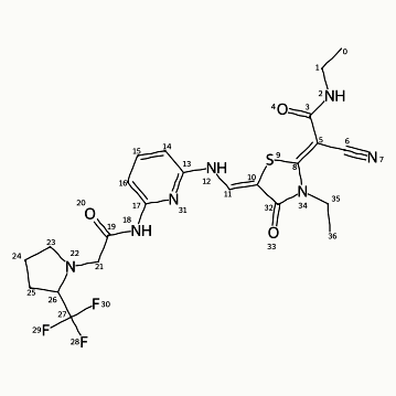 CCNC(=O)C(C#N)=c1sc(=CNc2cccc(NC(=O)CN3CCCC3C(F)(F)F)n2)c(=O)n1CC